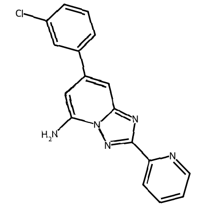 Nc1cc(-c2cccc(Cl)c2)cc2nc(-c3ccccn3)nn12